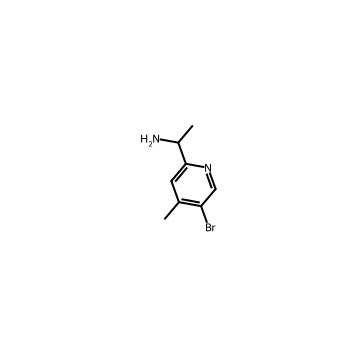 Cc1cc(C(C)N)ncc1Br